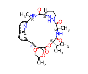 C=C1COC2(/C=C/c3ccc4ccc(nc4c3)[C@@H](C)NC(=O)[C@@H]3CCCN(N3)C(=O)[C@H](C)NC(=O)[C@H](C(C)C)OC2=O)CO1